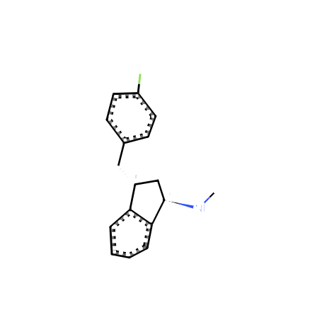 CN[C@@H]1C[C@@H](Cc2ccc(F)cc2)c2ccccc21